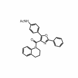 CC(=O)Nc1ccc(-c2oc(-c3ccccc3)nc2C(=O)N2CCCc3ccccc32)cc1